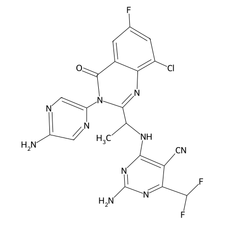 CC(Nc1nc(N)nc(C(F)F)c1C#N)c1nc2c(Cl)cc(F)cc2c(=O)n1-c1cnc(N)cn1